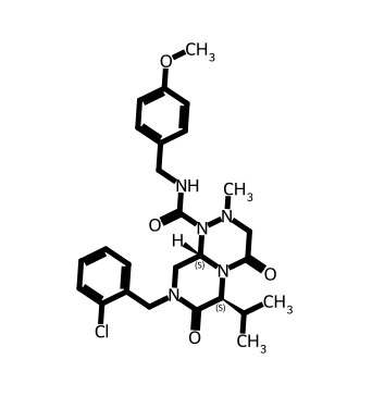 COc1ccc(CNC(=O)N2[C@H]3CN(Cc4ccccc4Cl)C(=O)[C@H](C(C)C)N3C(=O)CN2C)cc1